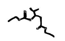 CCOC(=O)CC(SC(=O)OCC)C(C)C